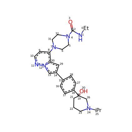 CCNC(=O)N1CCN(c2ccnn3cc(-c4ccc([C@]5(O)CCCN(C(C)C)C5)cc4)cc23)CC1